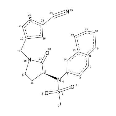 CS(=O)(=O)N(c1ccc2ccccc2c1)[C@H]1CCN(Cc2csc(C#N)c2)C1=O